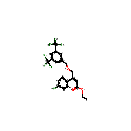 CCOC(=O)C=C(COCc1cc(C(F)(F)F)cc(C(F)(F)F)c1)c1ccc(F)cc1